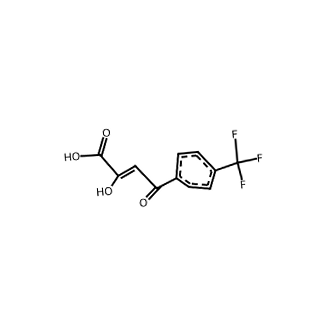 O=C(O)C(O)=CC(=O)c1ccc(C(F)(F)F)cc1